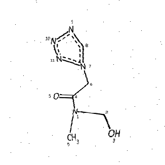 CN(CO)C(=O)Cn1cnnn1